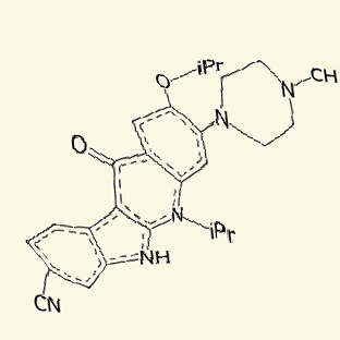 CC(C)Oc1cc2c(=O)c3c4ccc(C#N)cc4[nH]c3n(C(C)C)c2cc1N1CCN(C)CC1